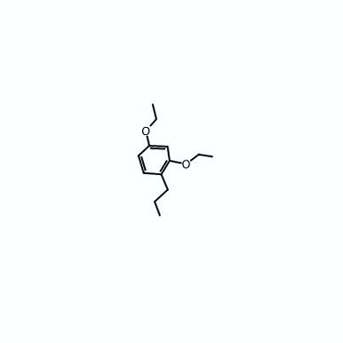 CCCc1ccc(OCC)cc1OCC